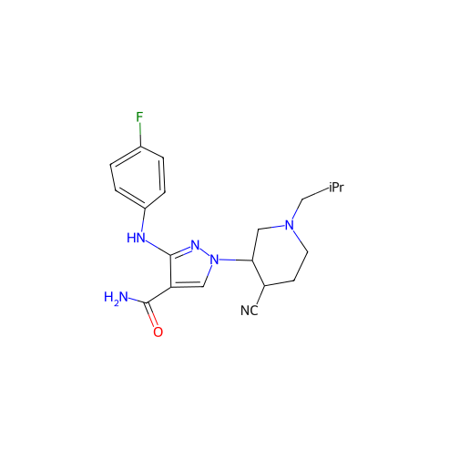 CC(C)CN1CCC(C#N)C(n2cc(C(N)=O)c(Nc3ccc(F)cc3)n2)C1